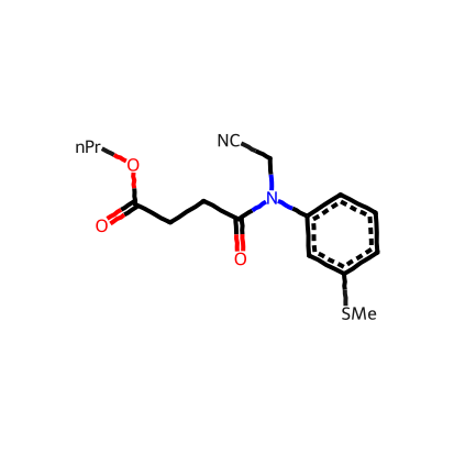 CCCOC(=O)CCC(=O)N(CC#N)c1cccc(SC)c1